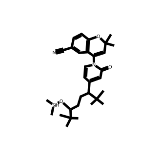 C[SiH](C)OC(CCC(c1ccn(C2=CC(C)(C)Oc3ccc(C#N)cc32)c(=O)c1)C(C)(C)C)C(C)(C)C